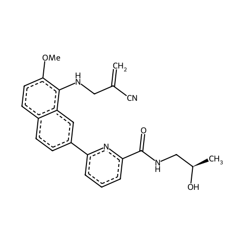 C=C(C#N)CNc1c(OC)ccc2ccc(-c3cccc(C(=O)NC[C@@H](C)O)n3)cc12